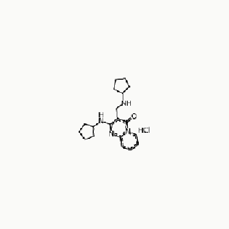 Cl.O=c1c(CNC2CCCC2)c(NC2CCCC2)nc2ccccn12